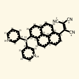 N#CC(C#N)=C(C#N)c1ccc2ccc3c(N(c4cccnc4)c4cccnc4)ccc4ccc1c2c43